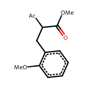 COC(=O)C(Cc1ccccc1OC)C(C)=O